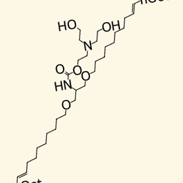 CCCCCCCCC=CCCCCCCCCOCC(COCCCCCCCCC=CCCCCCCCC)NC(=O)OCCN(CCO)CCO